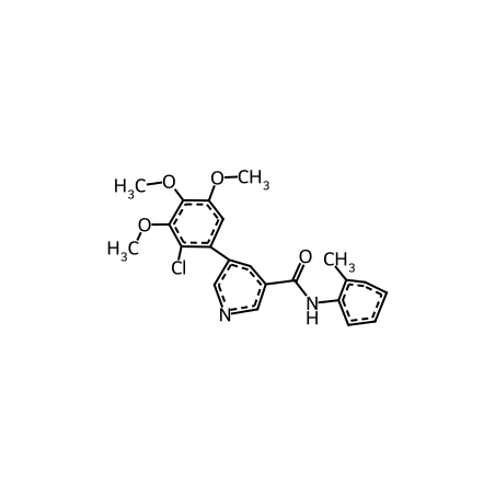 COc1cc(-c2cncc(C(=O)Nc3ccccc3C)c2)c(Cl)c(OC)c1OC